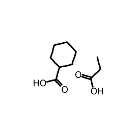 CCC(=O)O.O=C(O)C1CCCCC1